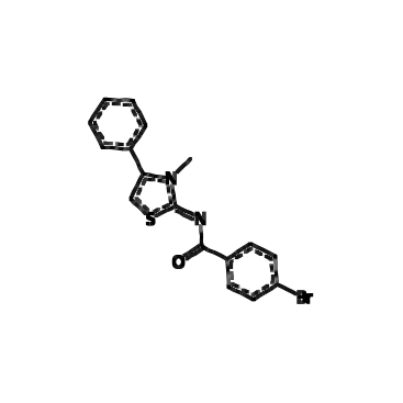 Cn1c(-c2ccccc2)cs/c1=N\C(=O)c1ccc(Br)cc1